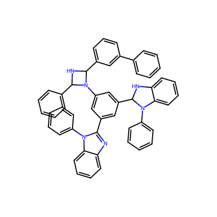 c1ccc(-c2cccc(C3NC(c4ccccc4)N3c3cc(-c4nc5ccccc5n4-c4ccccc4)cc(C4Nc5ccccc5N4c4ccccc4)c3)c2)cc1